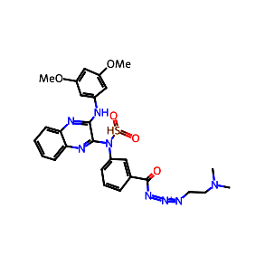 COc1cc(Nc2nc3ccccc3nc2N(c2cccc(C(=O)N=[N+]=NCCN(C)C)c2)[SH](=O)=O)cc(OC)c1